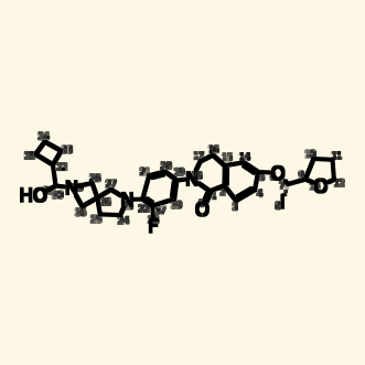 O=C1c2ccc(O[C@@H](I)C3CCCO3)cc2CCN1c1ccc(N2CCC3(C2)CN(C(O)C2CCC2)C3)c(F)c1